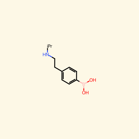 CC(C)NCCc1ccc(B(O)O)cc1